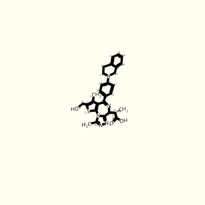 Cc1c(CO)sc2c1C(c1ccc(N3CCc4ccccc4C3)cc1)=NC([C@H](C)C(=O)O)c1nnc(C)n1-2